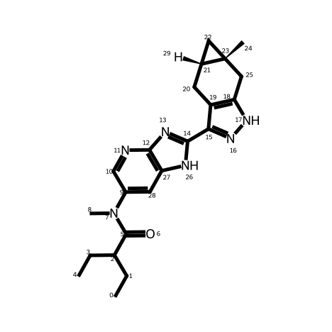 CCC(CC)C(=O)N(C)c1cnc2nc(-c3n[nH]c4c3C[C@@H]3C[C@]3(C)C4)[nH]c2c1